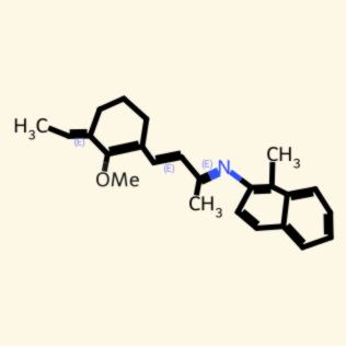 C/C=C1\CCCC(/C=C/C(C)=N/c2ccc3ccccc3c2C)=C1OC